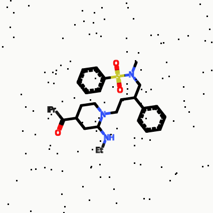 CCNC1CC(C(=O)C(C)C)CCN1CCC(CN(C)S(=O)(=O)c1ccccc1)c1ccccc1